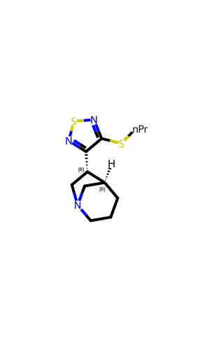 CCCSc1nsnc1[C@H]1CN2CCC[C@H]1C2